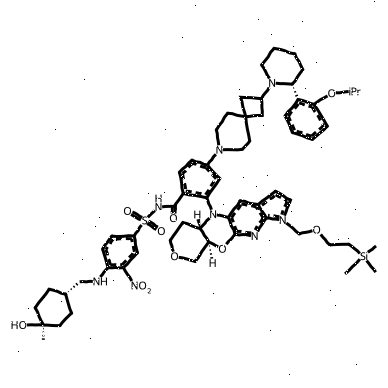 CC(C)Oc1ccccc1[C@H]1CCCCN1C1CC2(CCN(c3ccc(C(=O)NS(=O)(=O)c4ccc(NC[C@H]5CC[C@](C)(O)CC5)c([N+](=O)[O-])c4)c(N4c5cc6ccn(COCC[Si](C)(C)C)c6nc5O[C@H]5COCC[C@@H]54)c3)CC2)C1